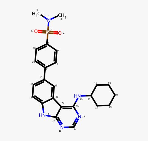 CN(C)S(=O)(=O)c1ccc(-c2ccc3[nH]c4ncnc(NC5CCCCC5)c4c3c2)cc1